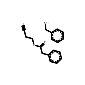 C#CCCOC(=O)Cc1ccccc1.OCc1ccccc1